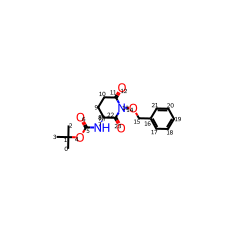 CC(C)(C)OC(=O)N[C@@H]1CCC(=O)N(OCc2ccccc2)C1=O